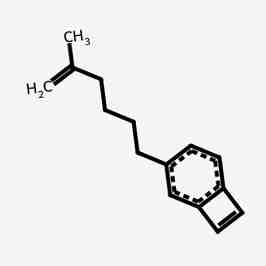 C=C(C)CCCCc1ccc2c(c1)C=C2